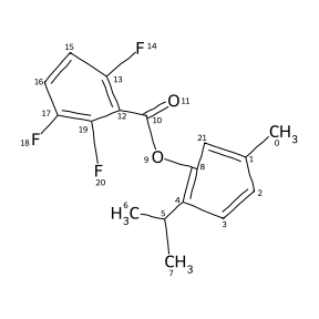 Cc1ccc(C(C)C)c(OC(=O)c2c(F)ccc(F)c2F)c1